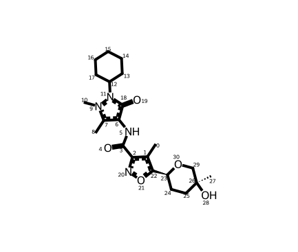 Cc1c(C(=O)Nc2c(C)n(C)n(C3CCCCC3)c2=O)noc1[C@@H]1CC[C@](C)(O)CO1